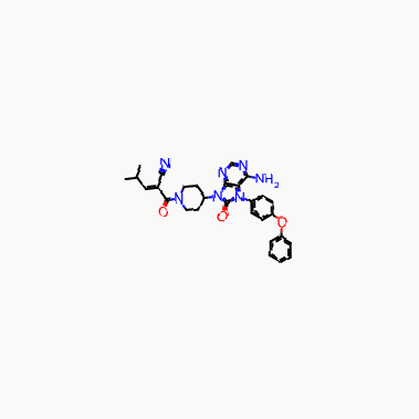 CC(C)C=C(C#N)C(=O)N1CCC(n2c(=O)n(-c3ccc(Oc4ccccc4)cc3)c3c(N)ncnc32)CC1